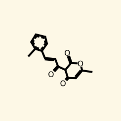 CC1=CC(=O)C(C(=O)C=Cc2ccccc2C)C(=O)O1